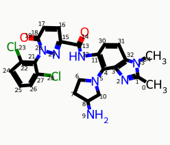 Cc1nc2c(N3CCC(N)C3)c(NC(=O)c3ccc(=O)n(-c4c(Cl)cccc4Cl)n3)ccc2n1C